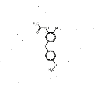 COc1ccc(Sc2ccc(N)c(NC(C)=O)c2)cc1